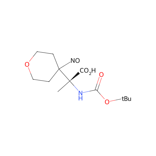 CC(C)(C)OC(=O)N[C@@](C)(C(=O)O)C1(N=O)CCOCC1